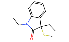 CCN1C(=O)C(CC)(SC)c2ccccc21